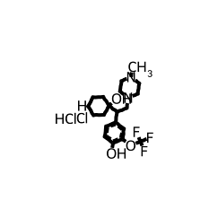 CN1CCN(CC(c2ccc(O)c(OC(F)(F)F)c2)C2(O)CCCCC2)CC1.Cl.Cl